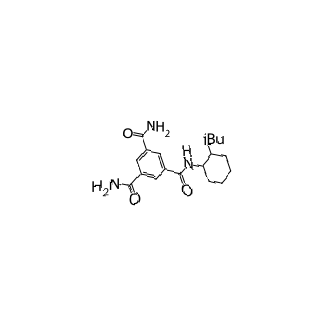 CCC(C)C1CCCCC1NC(=O)c1cc(C(N)=O)cc(C(N)=O)c1